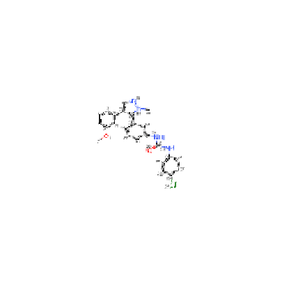 COc1cccc(-c2cnn(C)c2-c2cccc(NC(=O)Nc3ccc(Cl)cc3)c2)c1